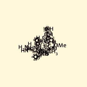 CO[C@H]1C[C@H]2C=CC3C4[C@H](O)[C@@H](C)[C@@H](OC(=O)c5ccc[nH]5)[C@@H]3O[C@]42/C(C)=C/[C@@H](C)[C@@H]([C@@H](C)OC(=O)C(=O)NC(Cc2ccccc2)C(=O)N[C@@H](CCCNC(=N)N)C(=O)Nc2ccc3ccccc3c2)OC1=O